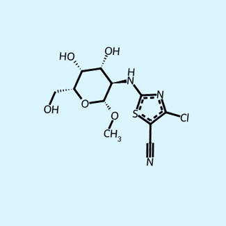 CO[C@@H]1O[C@H](CO)[C@H](O)[C@H](O)[C@H]1Nc1nc(Cl)c(C#N)s1